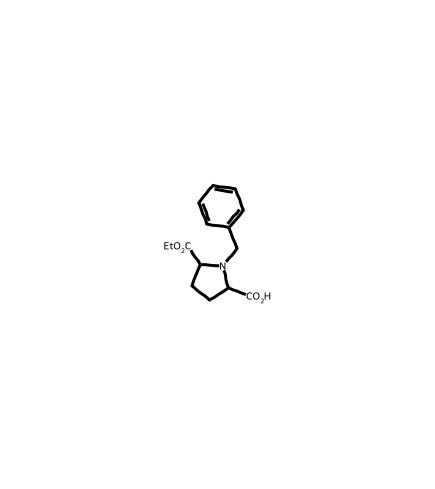 CCOC(=O)C1CCC(C(=O)O)N1Cc1ccccc1